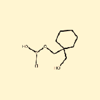 OCC1(COP(O)Cl)CCCCC1